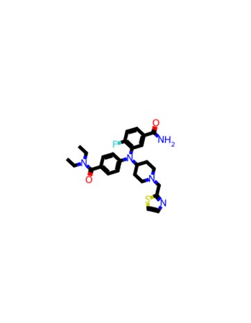 CCN(CC)C(=O)c1ccc(N(c2cc(C(N)=O)ccc2F)C2CCN(Cc3nccs3)CC2)cc1